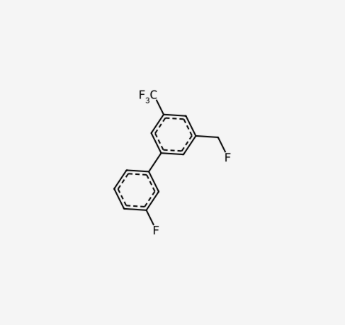 FCc1cc(-c2cccc(F)c2)cc(C(F)(F)F)c1